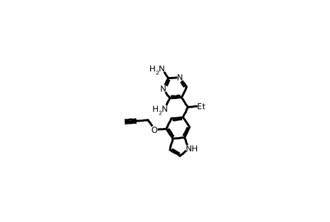 C#CCOc1cc(C(CC)c2cnc(N)nc2N)cc2[nH]ccc12